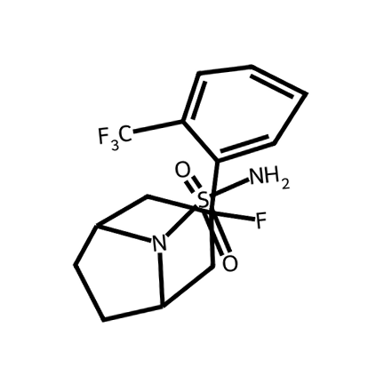 NS(=O)(=O)N1C2CCC1CC(F)(c1ccccc1C(F)(F)F)C2